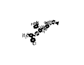 CC1(C)CCC(CN2CCN(c3ccc(C(=O)NS(=O)(=O)c4ccc(NC[C@H]5CN(C6CC6)CCO5)c([N+](=O)[O-])c4)c(Oc4cccc5[nH]ncc45)c3)CC2)=C(c2ccc(Cl)cc2)C1